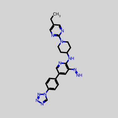 CCc1cnc(N2CCC(Nc3ncc(-c4ccc(-n5cnnn5)cc4)cc3N=N)CC2)nc1